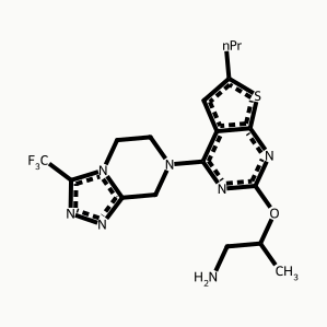 CCCc1cc2c(N3CCn4c(nnc4C(F)(F)F)C3)nc(OC(C)CN)nc2s1